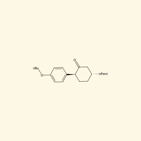 CCCCC[C@@H]1CC[C@@H](c2ccc(OCCCC)cc2)C(=O)C1